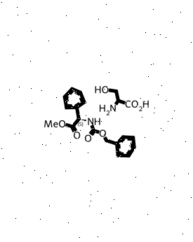 COC(=O)[C@@H](NC(=O)OCc1ccccc1)c1ccccc1.NC(CO)C(=O)O